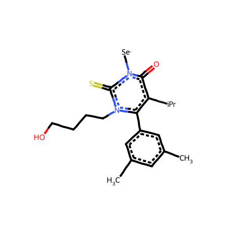 Cc1cc(C)cc(-c2c(C(C)C)c(=O)n([Se])c(=S)n2CCCCO)c1